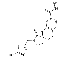 O=C(NO)c1ccc2c(c1)C[C@@]1(CC2)CCN(Cc2cnc(O)s2)C1=O